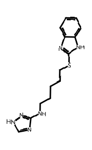 c1ccc2[nH]c(SCCCCCNc3nc[nH]n3)nc2c1